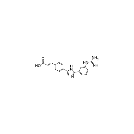 N=C(N)Nc1cccc(-c2ncc(-c3ccc(/C=C/C(=O)O)cc3)[nH]2)c1